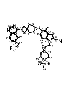 Cc1c(CN2CCC3(CC2)CN(c2ncnc4ccc(CC(F)(F)F)cc24)C3)ccc2c1cc(C#N)n2C[C@H](C)N1CCN(S(C)(=O)=O)[C@H](C)C1